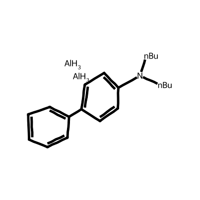 CCCCN(CCCC)c1ccc(-c2ccccc2)cc1.[AlH3].[AlH3]